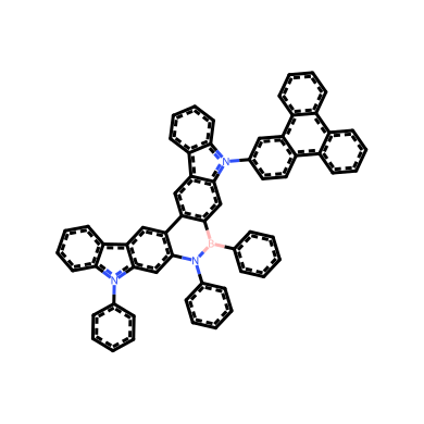 c1ccc(B2c3cc4c(cc3-c3cc5c6ccccc6n(-c6ccccc6)c5cc3N2c2ccccc2)c2ccccc2n4-c2ccc3c4ccccc4c4ccccc4c3c2)cc1